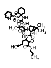 C#CCCC(NC(=O)[C@@H]1[C@@H]2C(CN1C(=O)[C@@H](NC(=O)NC1(CS(=O)(=O)c3ccccn3)CCCCC1)C(C)(C)C)C2(C)C)C(=O)C(=O)NCC=C